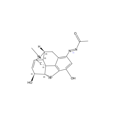 CC(=O)/N=N/c1cc(O)c2c3c1C[C@@H]1[C@@H]4C=C[C@H](O)[C@H](O2)[C@]34CCN1C